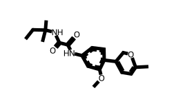 CCC(C)(C)NC(=O)C(=O)Nc1ccc(C2=CC=C(C)OC2)c(OC)c1